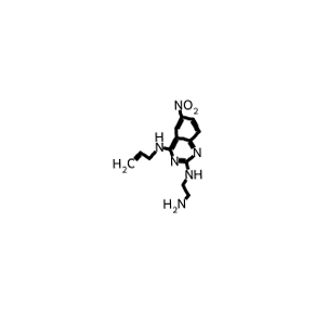 C=CCNc1nc(NCCN)nc2ccc([N+](=O)[O-])cc12